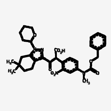 CN(C(=O)OCc1ccccc1)c1ccc(C(C(=O)O)C(=O)c2nn(C3CCCCO3)c3c2CCC(C)(C)C3)c([N+](=O)[O-])c1